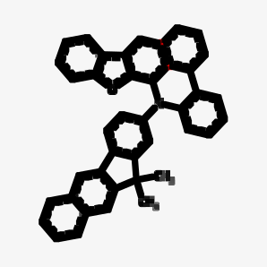 CC1(C)c2cc(N(c3ccccc3-c3ccccc3)c3cccc4c3oc3ccccc34)ccc2-c2cc3ccccc3cc21